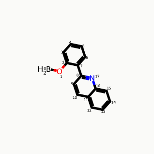 BOc1ccccc1-c1ccc2ccccc2n1